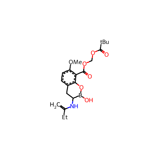 C=C(CC)NC1Cc2ccc(OC)c(C(=O)OCOC(=O)C(C)(C)C)c2OB1O